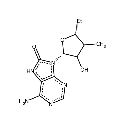 CC[C@H]1O[C@@H](n2c(=O)[nH]c3c(N)ncnc32)C(O)C1C